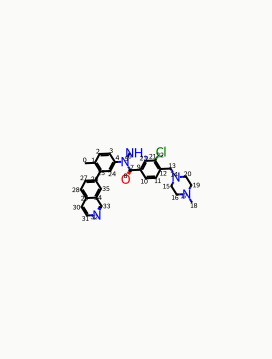 Cc1ccc(N(N)C(=O)c2ccc(CN3CCN(C)CC3)c(Cl)c2)cc1-c1ccc2ccncc2c1